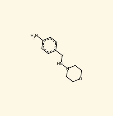 Nc1ccc(SNN2CCOCC2)cc1